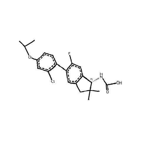 CC(C)Oc1ccc(-c2cc3c(cc2F)[C@H](NC(=O)O)C(C)(C)C3)c(Cl)c1